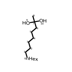 [CH2]CCCCCCCCCCCC(C)(O)O